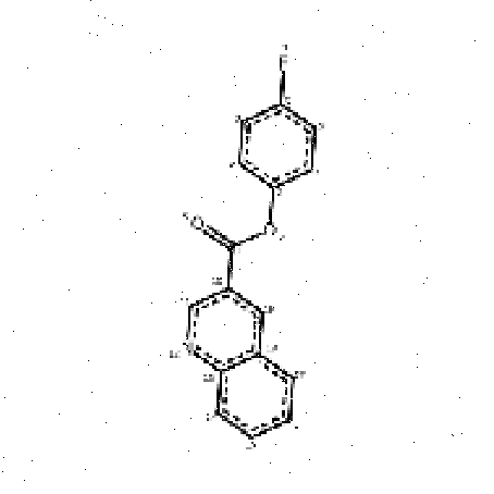 O=C(Oc1ccc(F)cc1)c1cnc2ccccc2c1